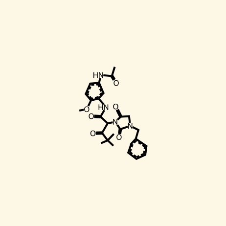 COc1ccc(NC(C)=O)cc1NC(=O)C(C(=O)C(C)(C)C)N1C(=O)CN(Cc2ccccc2)C1=O